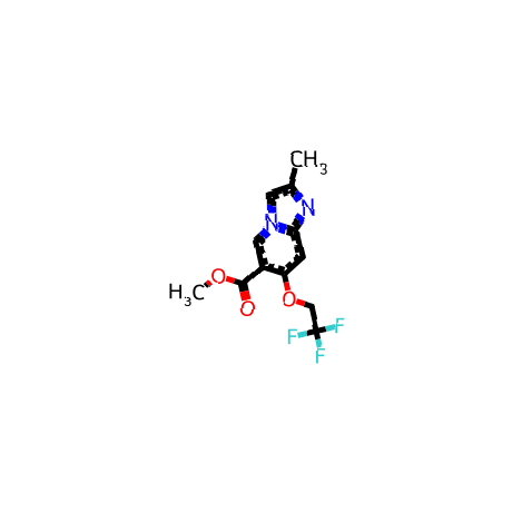 COC(=O)c1cn2cc(C)nc2cc1OCC(F)(F)F